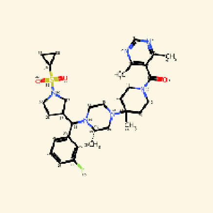 Cc1ncnc(C)c1C(=O)N1CCC(C)(N2CCN(C(c3cccc(F)c3)C3CCN(S(=O)(=O)C4CC4)C3)[C@@H](C)C2)CC1